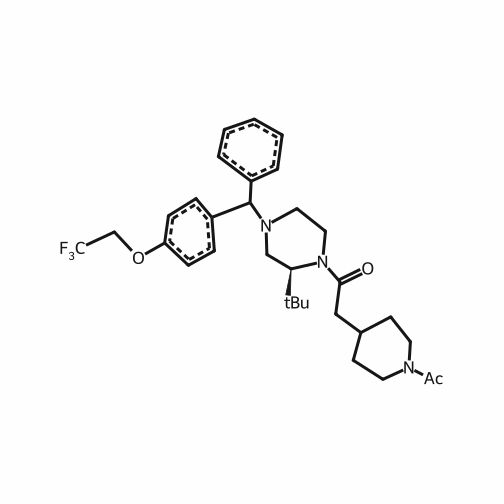 CC(=O)N1CCC(CC(=O)N2CCN(C(c3ccccc3)c3ccc(OCC(F)(F)F)cc3)C[C@@H]2C(C)(C)C)CC1